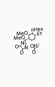 CCC(=O)O.CCCCCCc1c(CC)ccc(C2(OC)C3=NC(=O)C(=O)N32)c1OC